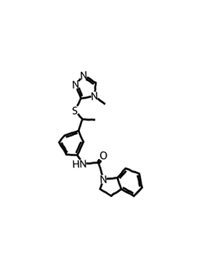 CC(Sc1nncn1C)c1cccc(NC(=O)N2CCc3ccccc32)c1